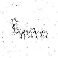 CC(C)N(C)CCn1ncc2cc(NC(=O)Nc3ccc(Oc4ccccc4)cc3)ccc21